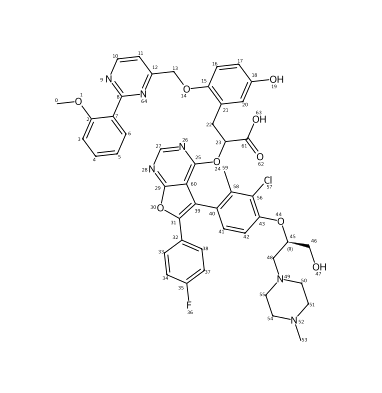 COc1ccccc1-c1nccc(COc2ccc(O)cc2CC(Oc2ncnc3oc(-c4ccc(F)cc4)c(-c4ccc(O[C@@H](CO)CN5CCN(C)CC5)c(Cl)c4C)c23)C(=O)O)n1